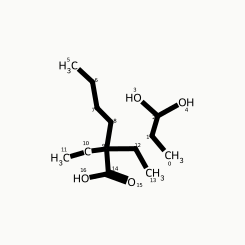 CCC(O)O.CCCCC(CC)(CC)C(=O)O